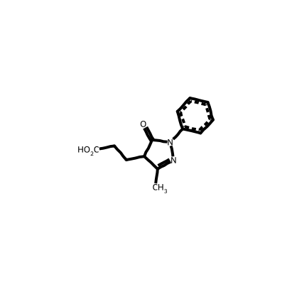 CC1=NN(c2ccccc2)C(=O)C1CCC(=O)O